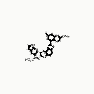 COc1cnc2c(-c3nc4ccc5c(c4s3)OC[C@@H](CN(C(=O)O)c3cnc4[nH]ccc4c3)O5)cc(C)cc2n1